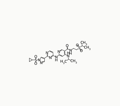 CC(C)Nc1cc(Nc2ccnc(-c3cnn(S(=O)(=O)C4CC4)c3)n2)ncc1C(=O)NCCS(=O)(=O)C(C)C